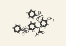 Cc1ccc(N(C(N)=O)c2cccc(OS(=O)(=O)c3ccccc3)c2)cc1OS(=O)(=O)c1ccccc1